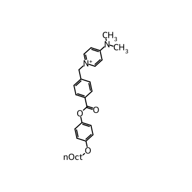 CCCCCCCCOc1ccc(OC(=O)c2ccc(C[n+]3ccc(N(C)C)cc3)cc2)cc1